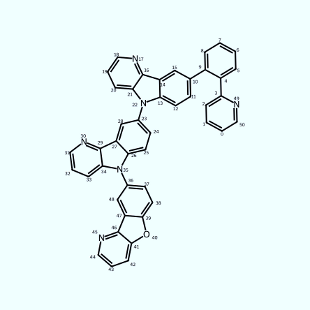 c1ccc(-c2ccccc2-c2ccc3c(c2)c2ncccc2n3-c2ccc3c(c2)c2ncccc2n3-c2ccc3oc4cccnc4c3c2)nc1